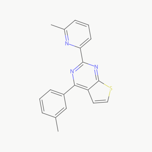 Cc1cccc(-c2nc(-c3cccc(C)n3)nc3sccc23)c1